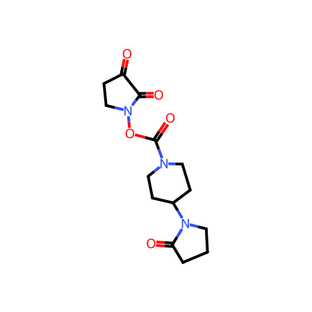 O=C1CCN(OC(=O)N2CCC(N3CCCC3=O)CC2)C1=O